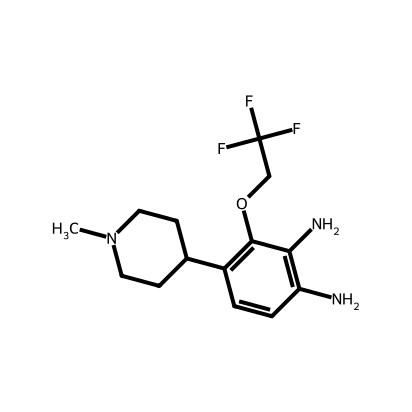 CN1CCC(c2ccc(N)c(N)c2OCC(F)(F)F)CC1